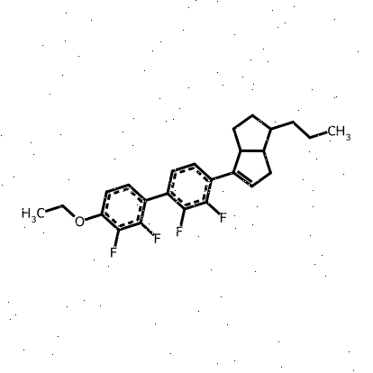 CCCC1CCC2C(c3ccc(-c4ccc(OCC)c(F)c4F)c(F)c3F)=CCC12